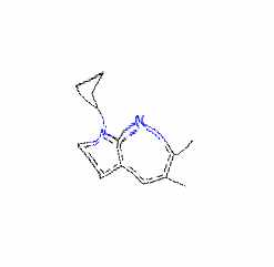 Cc1cc2ccn(C3CC3)c2nc1C